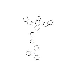 c1ccc(N(c2ccccc2)c2cccc(-c3ccc(-c4ccc(-c5ccc6c(-c7ccc8ccccc8c7)c7ccccc7c(-c7ccc8ccccc8c7)c6c5)s4)s3)c2)cc1